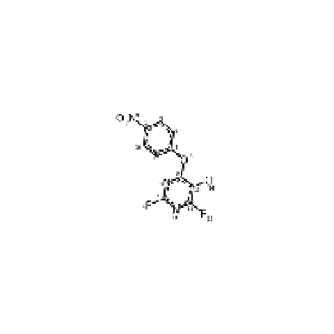 O=[N+]([O-])c1ccc(Oc2nc(F)nc(F)c2Cl)cc1